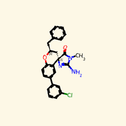 CN1C(=O)[C@@]2(C[C@H](Cc3ccccc3)Oc3ccc(-c4cccc(Cl)c4)cc32)N=C1N